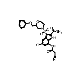 N#CCC(=O)Nc1cc(Cl)cc2c(S(=O)(=O)N3CCOC(COc4ccccc4)C3)c(C(N)=O)[nH]c12